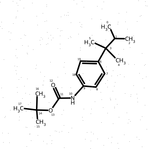 CC(C)C(C)(C)c1ccc(NC(=O)OC(C)(C)C)cc1